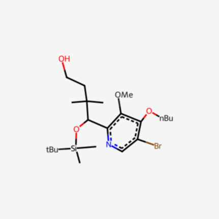 CCCCOc1c(Br)cnc(C(O[Si](C)(C)C(C)(C)C)C(C)(C)CCO)c1OC